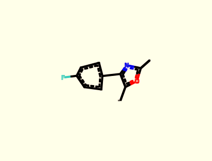 [CH2]c1oc(C)nc1-c1ccc(F)cc1